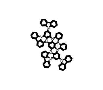 c1ccc2c(c1)B1c3ccccc3N3c4cc(-n5c6ccccc6c6ccccc65)cc5c4B(c4cc6c(c1c43)N2c1cc(-n2c3ccccc3c3ccccc32)cc2c1B6c1cccc3c4ccccc4n-2c13)c1cccc2c3ccccc3n-5c12